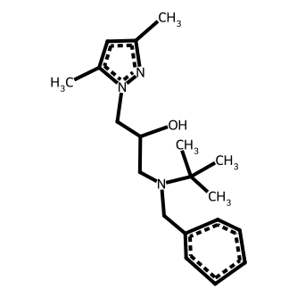 Cc1cc(C)n(CC(O)CN(Cc2ccccc2)C(C)(C)C)n1